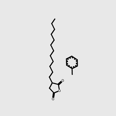 CCCCCCCCCCCCC1CC(=O)OC1=O.Cc1ccccc1